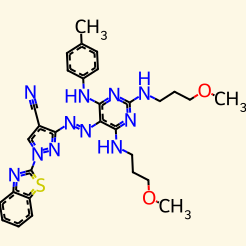 COCCCNc1nc(NCCCOC)c(N=Nc2nn(-c3nc4ccccc4s3)cc2C#N)c(Nc2ccc(C)cc2)n1